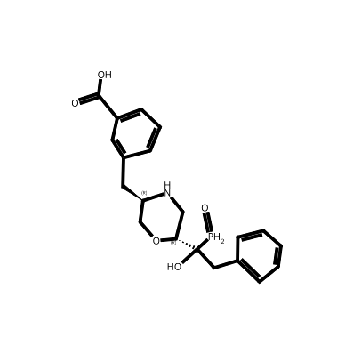 O=[PH2]C(O)(Cc1ccccc1)[C@H]1CN[C@H](Cc2cccc(C(=O)O)c2)CO1